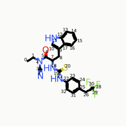 CCN(C#N)C(=O)C(Cc1c[nH]c2ccccc12)NC(=S)Nc1ccc(CC(F)(F)F)cc1